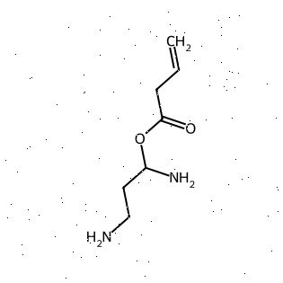 C=CCC(=O)OC(N)CCN